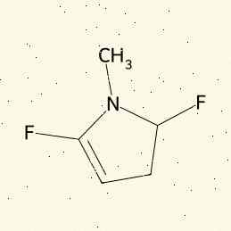 CN1C(F)=CCC1F